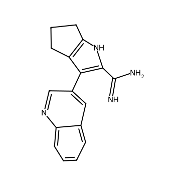 N=C(N)c1[nH]c2c(c1-c1cnc3ccccc3c1)CCC2